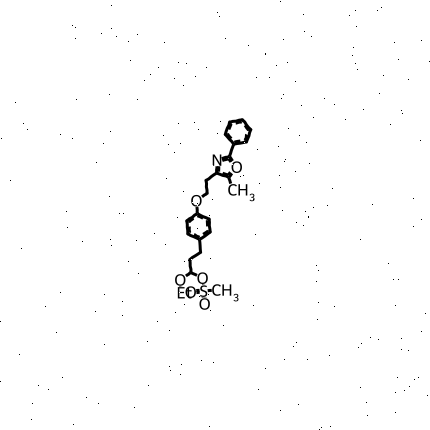 CCOC(CCc1ccc(OCCc2nc(-c3ccccc3)oc2C)cc1)OS(C)(=O)=O